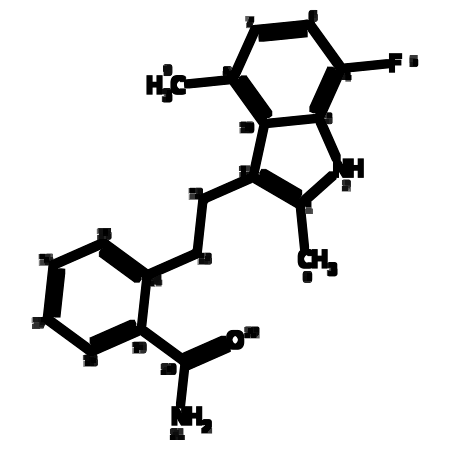 Cc1[nH]c2c(F)ccc(C)c2c1CCc1ccccc1C(N)=O